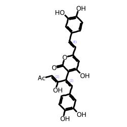 CC(=O)/C=C(O)/C(=C\c1ccc(O)c(O)c1)c1c(O)cc(/C=C/c2ccc(O)c(O)c2)oc1=O